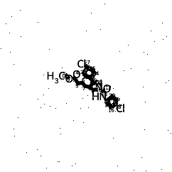 CCOC(=O)CCCC1CN(C(=O)Nc2ccc(Cl)cc2)N=C1c1ccc(Cl)cc1